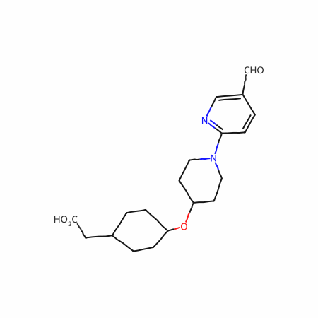 O=Cc1ccc(N2CCC(OC3CCC(CC(=O)O)CC3)CC2)nc1